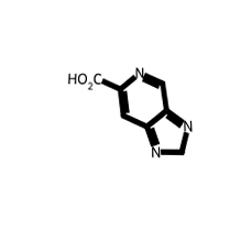 O=C(O)c1cc2c(cn1)=NCN=2